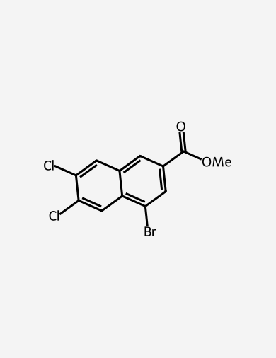 COC(=O)c1cc(Br)c2cc(Cl)c(Cl)cc2c1